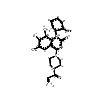 C=CC(=O)N1CCN(c2nc(=O)n(-c3ccccc3C(C)C)c3c(C)c(Br)c(Cl)cc23)CC1